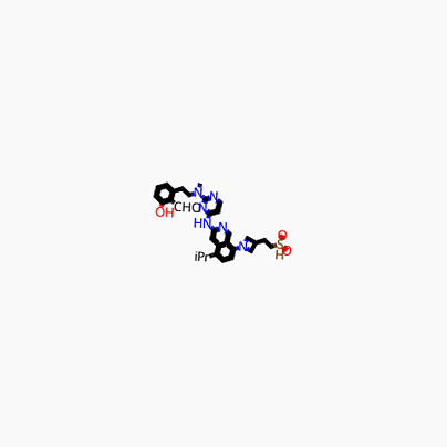 CC(C)c1ccc(N2CC(CC[SH](=O)=O)C2)c2cnc(Nc3ccnc(N(C)CCc4cccc(O)c4C=O)n3)cc12